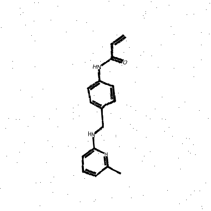 C=CC(=O)Nc1ccc(CNc2cccc(C)n2)cc1